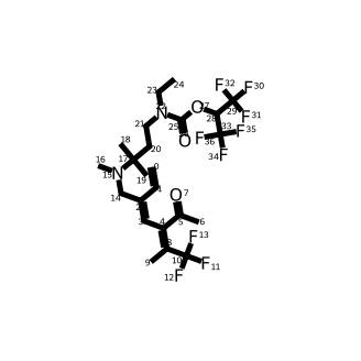 C=C/C(=C\C(C(C)=O)=C(/C)C(F)(F)F)CN(C)C(C)(C)CCN(CC)C(=O)OC(C(F)(F)F)C(F)(F)F